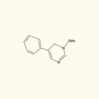 CSN1[C]=NC=C(c2ccccc2)C1